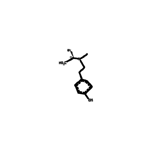 CC(C)[C@@H](C(=O)O)N(C)CCc1ccc(O)cc1